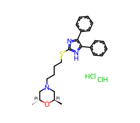 C[C@@H]1CN(CCCCSc2nc(-c3ccccc3)c(-c3ccccc3)[nH]2)C[C@@H](C)O1.Cl.Cl